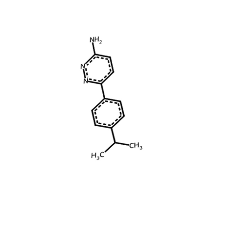 CC(C)c1ccc(-c2ccc(N)nn2)cc1